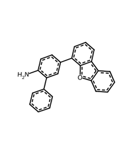 Nc1ccc(-c2cccc3c2oc2ccccc23)cc1-c1ccccc1